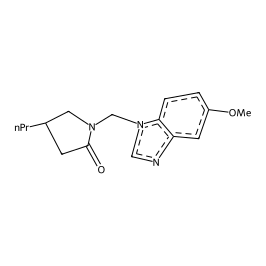 CCCC1CC(=O)N(Cn2cnc3cc(OC)ccc32)C1